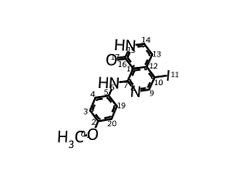 COc1ccc(Nc2ncc(I)c3cc[nH]c(=O)c23)cc1